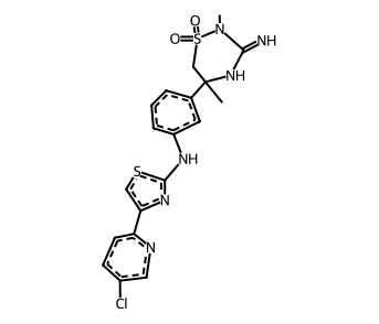 CN1C(=N)NC(C)(c2cccc(Nc3nc(-c4ccc(Cl)cn4)cs3)c2)CS1(=O)=O